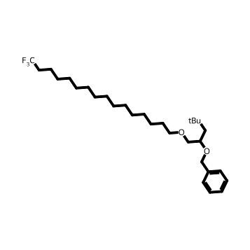 CC(C)(C)CC(COCCCCCCCCCCCCCCCC(F)(F)F)OCc1ccccc1